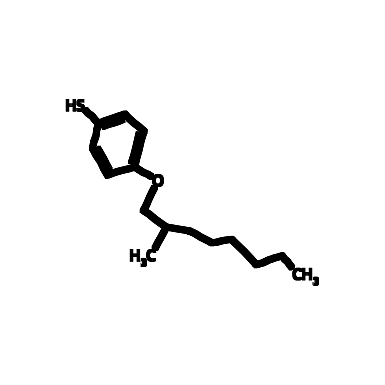 CCCCCCC(C)COc1ccc(S)cc1